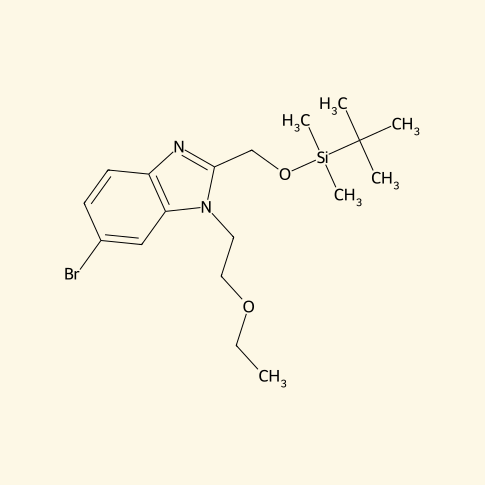 CCOCCn1c(CO[Si](C)(C)C(C)(C)C)nc2ccc(Br)cc21